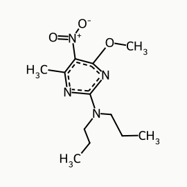 CCCN(CCC)c1nc(C)c([N+](=O)[O-])c(OC)n1